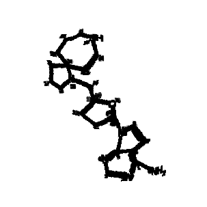 Nc1ncnc2c1ccn2[C@H]1CC[C@@H](CN2CCCC23CCCNCC3)O1